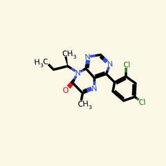 CC[C@@H](C)n1c(=O)c(C)nc2c(-c3ccc(Cl)cc3Cl)ncnc21